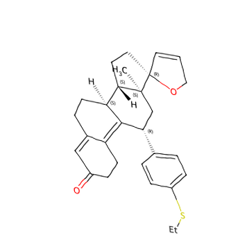 CCSc1ccc([C@H]2C[C@@]3(C)[C@@H](CC[C@@]34C=CCO4)[C@@H]3CCC4=CC(=O)CCC4=C32)cc1